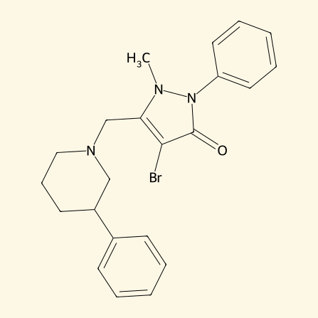 Cn1c(CN2CCCC(c3ccccc3)C2)c(Br)c(=O)n1-c1ccccc1